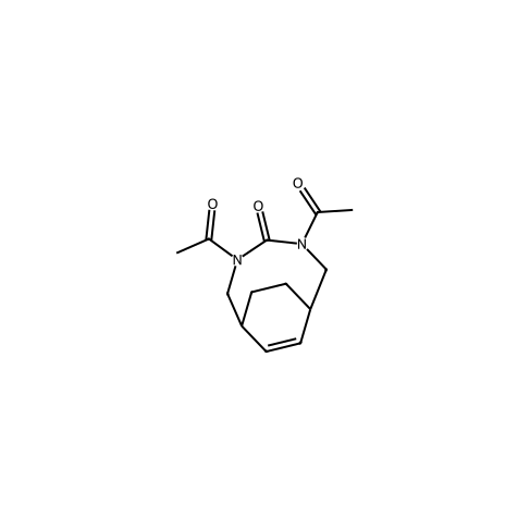 CC(=O)N1CC2C=CC(CC2)CN(C(C)=O)C1=O